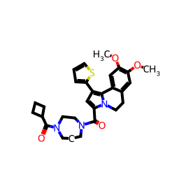 COc1cc2c(cc1OC)-c1c(-c3cccs3)cc(C(=O)N3CCCN(C(=O)C4CCC4)CC3)n1CC2